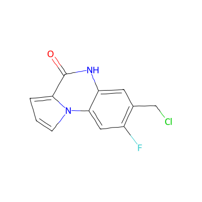 O=c1[nH]c2cc(CCl)c(F)cc2n2cccc12